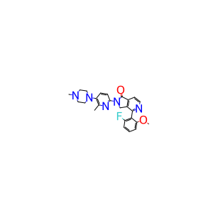 COc1cccc(F)c1-c1nccc2c1CN(c1ccc(N3CCN(C)CC3)c(C)n1)C2=O